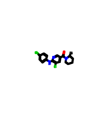 CCC1CCCCN1C(=O)c1cnc(Nc2ccc(Cl)cc2)c(Cl)c1